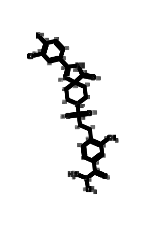 Cc1cc(C(=O)N(C)C)ccc1CCS(=O)(=O)N1CCC2(CC1)N=C(c1ccc(F)c(Cl)c1)NC2=O